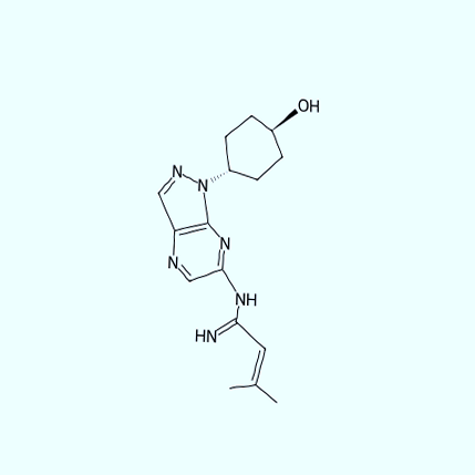 CC(C)=CC(=N)Nc1cnc2cnn([C@H]3CC[C@H](O)CC3)c2n1